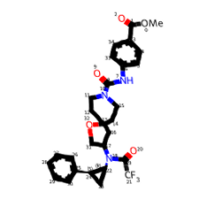 COC(=O)c1ccc(NC(=O)N2CCC3(CC2)CC(N(C(=O)C(F)(F)F)[C@@H]2C[C@H]2c2ccccc2)CO3)cc1